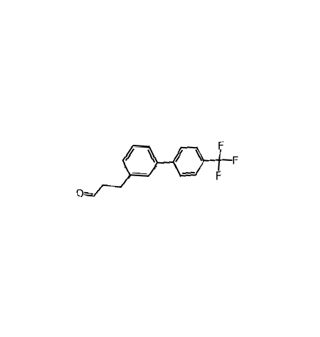 O=CCCc1cccc(-c2ccc(C(F)(F)F)cc2)c1